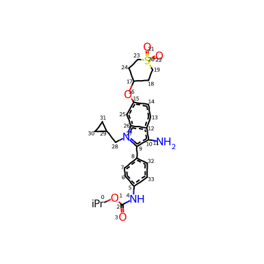 CC(C)OC(=O)Nc1ccc(-c2c(N)c3ccc(OC4CCS(=O)(=O)CC4)cc3n2CC2CC2)cc1